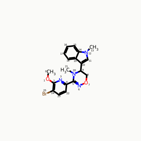 COc1nc(C2=NOCC(c3cn(C)c4ccccc34)N2C)ccc1Br